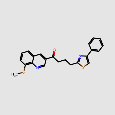 CSc1cccc2cc(C(=O)CCCc3nc(-c4ccccc4)cs3)cnc12